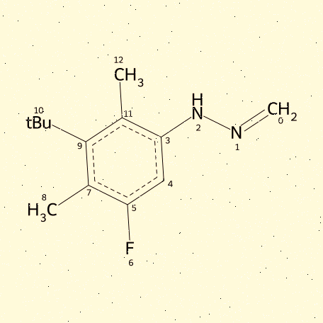 C=NNc1cc(F)c(C)c(C(C)(C)C)c1C